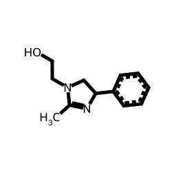 CC1=NC(c2ccccc2)CN1CCO